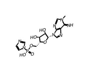 Cn1cnc2c(ncn2[C@@H]2O[C@H](COP(=O)(O)n3ccnc3)[C@@H](O)[C@H]2O)c1=N